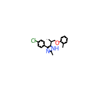 [CH2]C(COc1ccccc1C)c1[nH]c(C)nc1-c1ccc(Cl)cc1